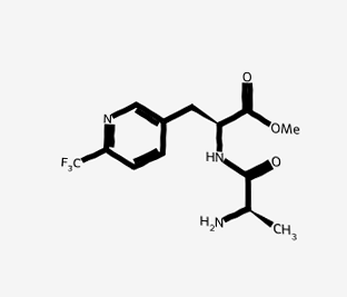 COC(=O)[C@H](Cc1ccc(C(F)(F)F)nc1)NC(=O)[C@@H](C)N